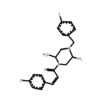 CC1CN(C(=O)/C=C\c2ccc(Cl)cc2)C(C)CN1Cc1ccc(F)cc1